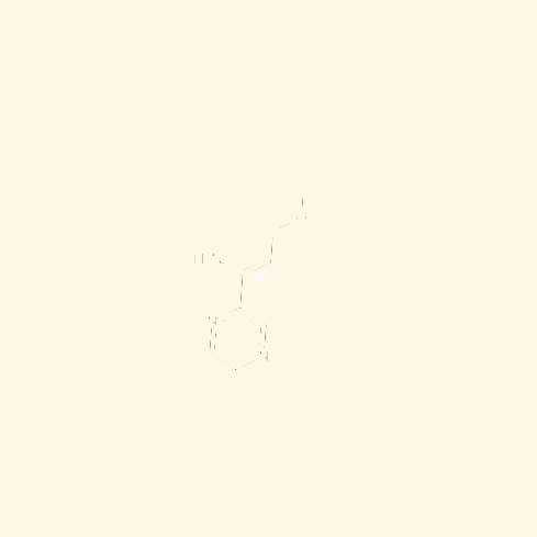 CCSOO/C=C(\N)c1cnccn1